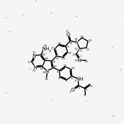 C=C(C)C(=O)Nc1ccc(-c2c(-c3ccc(C(=O)N4CCC[C@H]4/C=N\C)cc3)c3c(N)ncnc3n2C)cc1